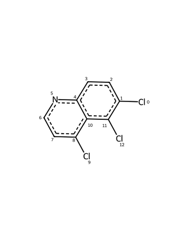 Clc1ccc2nccc(Cl)c2c1Cl